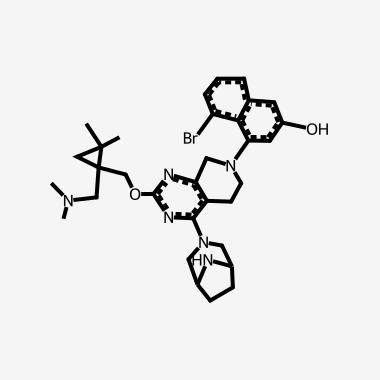 CN(C)CC1(COc2nc3c(c(N4CC5CCC(C4)N5)n2)CCN(c2cc(O)cc4cccc(Br)c24)C3)CC1(C)C